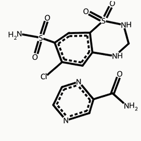 NC(=O)c1cnccn1.NS(=O)(=O)c1cc2c(cc1Cl)NCNS2(=O)=O